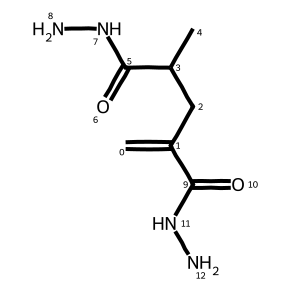 C=C(CC(C)C(=O)NN)C(=O)NN